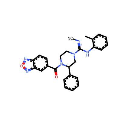 Cc1ccccc1N/C(=N/C#N)N1CCN(C(=O)c2ccc3nonc3c2)C(c2ccccc2)C1